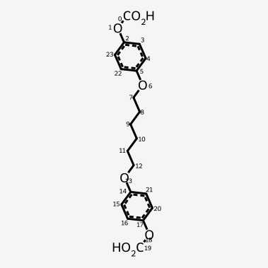 O=C(O)Oc1ccc(OCCCCCCOc2ccc(OC(=O)O)cc2)cc1